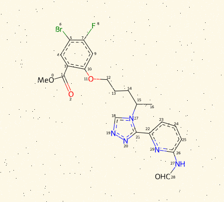 COC(=O)c1cc(Br)c(F)cc1OCCCC(C)n1cnnc1-c1cccc(NC=O)n1